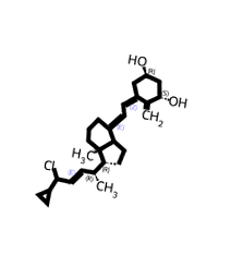 C=C1/C(=C\C=C2/CCC[C@@]3(C)C2CC[C@@H]3[C@H](C)/C=C/C(Cl)C2CC2)C[C@@H](O)C[C@@H]1O